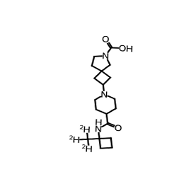 [2H]C([2H])([2H])C1(NC(=O)C2CCN(C3CC4(CCN(C(=O)O)C4)C3)CC2)CCC1